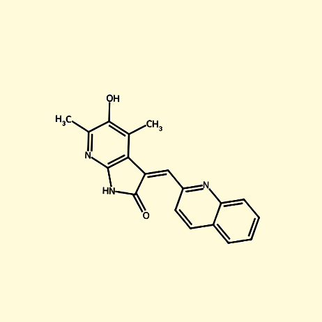 Cc1nc2c(c(C)c1O)/C(=C/c1ccc3ccccc3n1)C(=O)N2